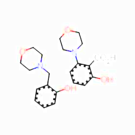 O=C(O)c1c(O)cccc1N1CCOCC1.Oc1ccccc1CN1CCOCC1